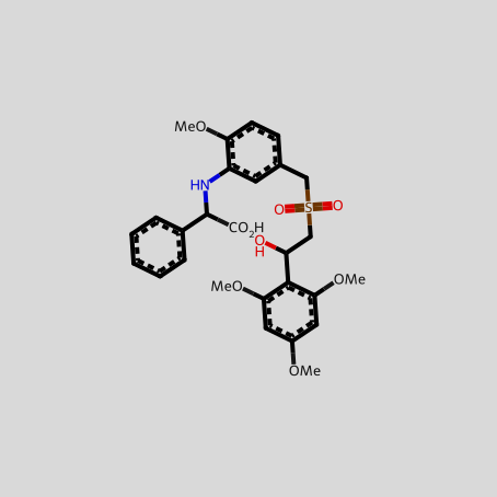 COc1cc(OC)c(C(O)CS(=O)(=O)Cc2ccc(OC)c(NC(C(=O)O)c3ccccc3)c2)c(OC)c1